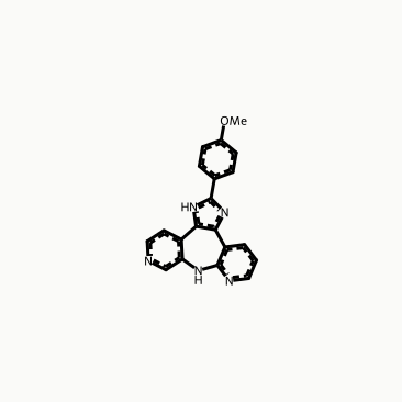 COc1ccc(-c2nc3c([nH]2)-c2ccncc2Nc2ncccc2-3)cc1